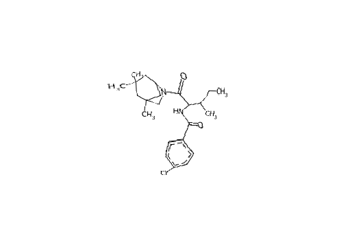 CCC(C)C(NC(=O)c1ccc(Cl)cc1)C(=O)N1CC2(C)CC1CC(C)(C)C2